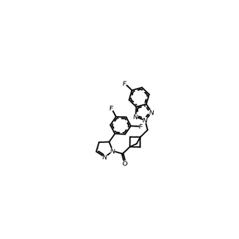 O=C(N1N=CCC1c1cc(F)cc(F)c1)C12CC(Cn3nc4ccc(F)cc4n3)(C1)C2